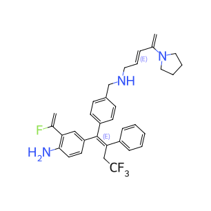 C=C(F)c1cc(/C(=C(\CC(F)(F)F)c2ccccc2)c2ccc(CNC/C=C/C(=C)N3CCCC3)cc2)ccc1N